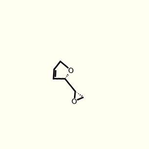 C1=C[C@@H]([C@@H]2CO2)OC1